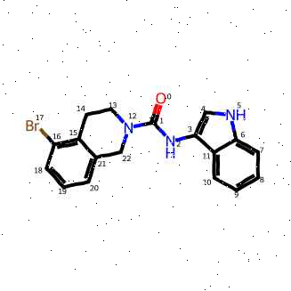 O=C(Nc1c[nH]c2ccccc12)N1CCc2c(Br)cccc2C1